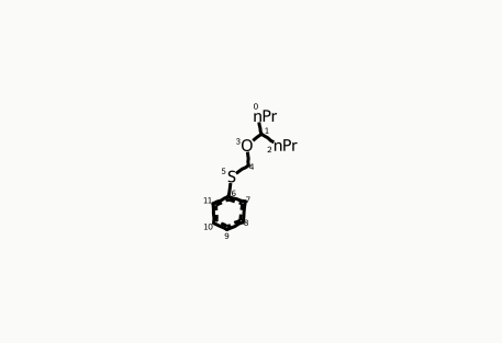 CCCC(CCC)OCSc1ccccc1